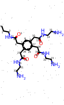 CCCNC(=O)Cc1cc(CC(=O)NCCN)c(CC(=O)NCCN)cc1CC(=O)NCCN